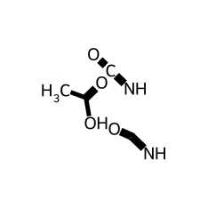 CC(=O)O.N=C=O.N=C=O